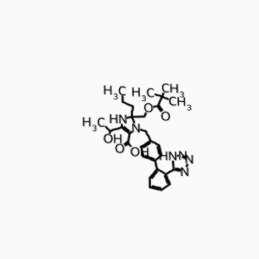 CCCC1(COC(=O)C(C)(C)C)NC(C(C)O)=C(C(=O)O)N1Cc1ccc(-c2ccccc2-c2nnn[nH]2)cc1